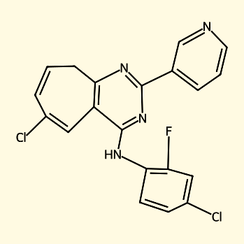 Fc1cc(Cl)ccc1Nc1nc(-c2cccnc2)nc2c1C=C(Cl)C=CC2